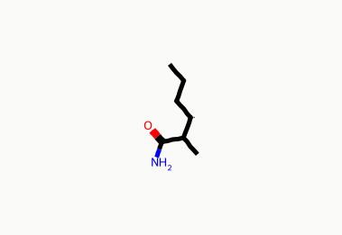 CCC[CH]C(C)C(N)=O